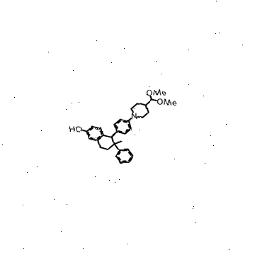 COC(OC)C1CCN(c2ccc(C3c4ccc(O)cc4CCC3(C)c3ccccc3)cc2)CC1